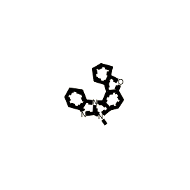 Cn1c2ccc3oc4ccccc4c3c2n2c3ccccc3nc12